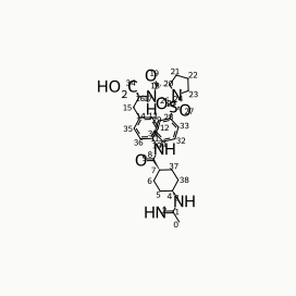 CC(=N)N[C@H]1CC[C@@H](C(=O)Nc2ccc(C[C@H](NC(=O)[C@@H]3CCCN3S(=O)(=O)c3ccccc3)C(=O)O)cc2)CC1